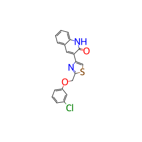 O=c1[nH]c2ccccc2cc1-c1csc(COc2cccc(Cl)c2)n1